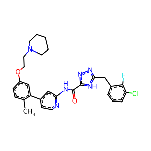 Cc1ccc(OCCN2CCCCC2)cc1-c1ccnc(NC(=O)c2nnc(Cc3cccc(Cl)c3F)[nH]2)c1